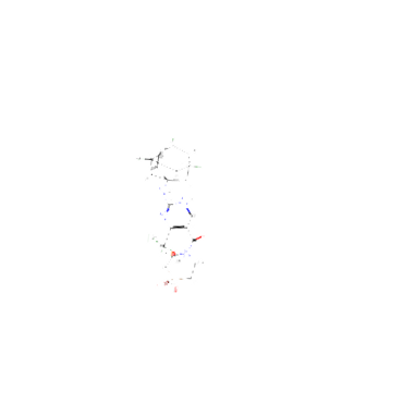 O=C(c1cnc(NC23CCC4(F)CC(F)(CC(F)(C4)C2)C3)nc1C(F)(F)F)N1CCS(=O)(=O)CC1